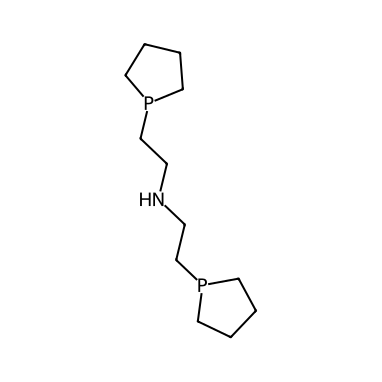 C1CCP(CCNCCP2CCCC2)C1